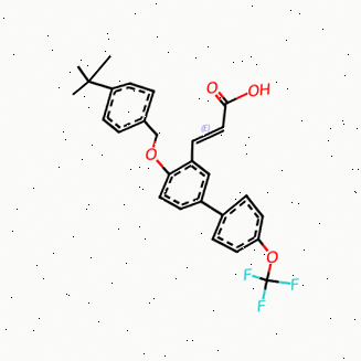 CC(C)(C)c1ccc(COc2ccc(-c3ccc(OC(F)(F)F)cc3)cc2/C=C/C(=O)O)cc1